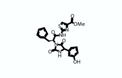 COC(=O)c1csc(NC(=O)[C@H](Cc2ccccc2)N2C(=O)NC(c3cccc(O)c3)C2=O)n1